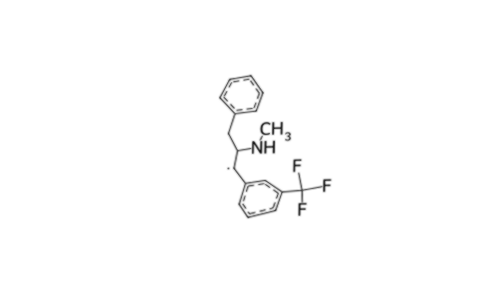 CNC([CH]c1cccc(C(F)(F)F)c1)Cc1ccccc1